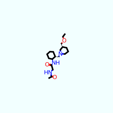 CCOC[C@@H]1CCCN(C[C@H]2CCCC[C@@H]2NC(=O)CNC(C)=O)C1